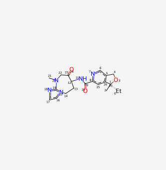 CC[C@@]1(C)OCc2cnc(C(=O)NC3CCn4ccnc4N(C)CC3=O)cc21